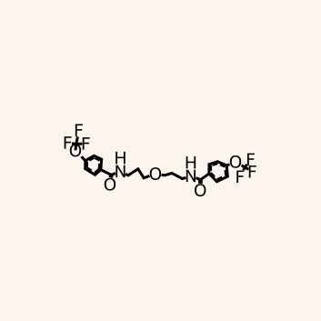 O=C(NCCCOCCCNC(=O)c1ccc(OC(F)(F)F)cc1)c1ccc(OC(F)(F)F)cc1